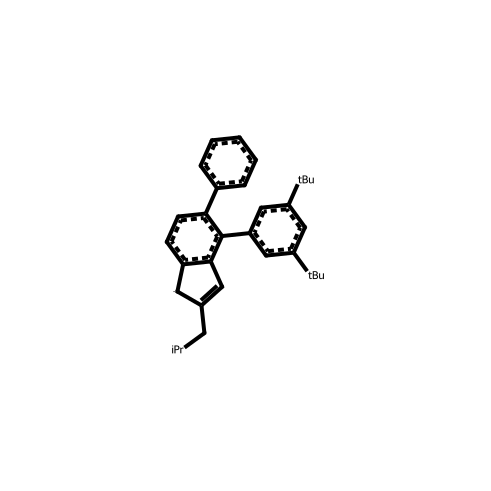 CC(C)CC1=Cc2c(ccc(-c3ccccc3)c2-c2cc(C(C)(C)C)cc(C(C)(C)C)c2)[CH]1